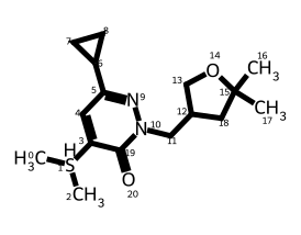 C[SH](C)c1cc(C2CC2)nn(CC2COC(C)(C)C2)c1=O